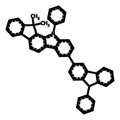 CC1(C)c2ccccc2-c2ccc3c4cc(-c5ccc6c(c5)-c5ccccc5C6c5ccccc5)ccc4n(-c4ccccc4)c3c21